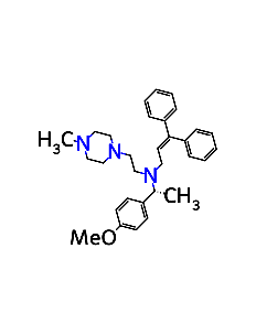 COc1ccc([C@@H](C)N(CC=C(c2ccccc2)c2ccccc2)CCN2CCN(C)CC2)cc1